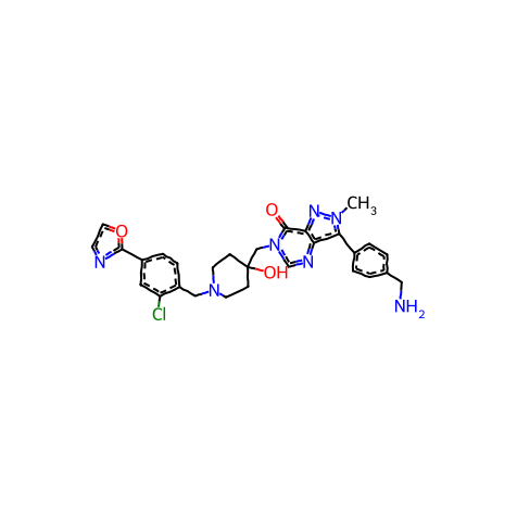 Cn1nc2c(=O)n(CC3(O)CCN(Cc4ccc(-c5ncco5)cc4Cl)CC3)cnc2c1-c1ccc(CN)cc1